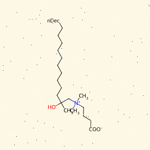 CCCCCCCCCCCCCCCCCCCCC(C)(O)C[N+](C)(C)CCCC(=O)[O-]